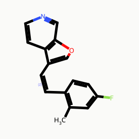 Cc1cc(F)ccc1/C=C\c1coc2cnccc12